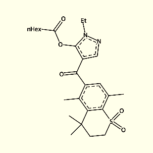 CCCCCCC(=O)Oc1c(C(=O)c2cc(C)c3c(c2C)C(C)(C)CCS3(=O)=O)cnn1CC